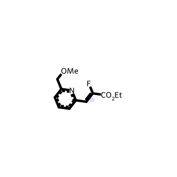 CCOC(=O)/C(F)=C/c1cccc(COC)n1